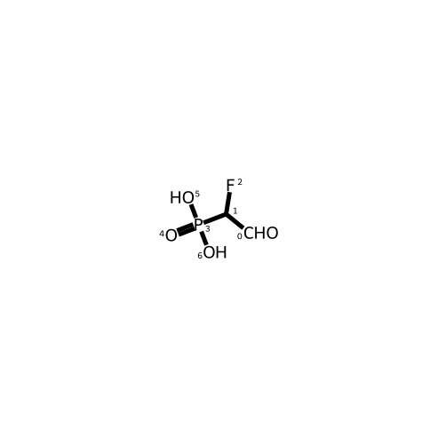 O=CC(F)P(=O)(O)O